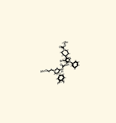 COCCN1C[C@@H](NC(=O)Nc2c(Br)c(C3CCN(C(=O)OC(C)(C)C)CC3)nn2-c2ccccc2)[C@H](c2ccc(F)c(F)c2)C1